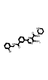 Nc1ncc(-c2cccc(C(=O)NCc3ccccc3Br)c2)nc1C(=O)N[C@H]1CCCNC1